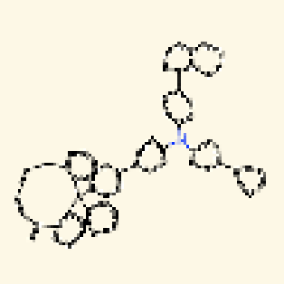 C=C1/C=C\C=C/Cc2ccccc2C(c2ccccc2)(c2ccc(-c3ccc(N(c4ccc(-c5ccccc5)cc4)c4ccc(-c5cccc6ccccc56)cc4)cc3)cc2)c2ccccc21